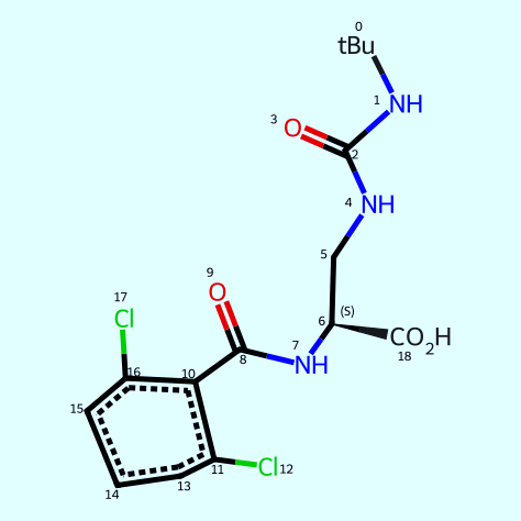 CC(C)(C)NC(=O)NC[C@H](NC(=O)c1c(Cl)cccc1Cl)C(=O)O